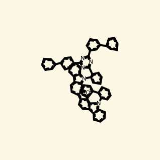 c1ccc(-c2ccc(-c3nc(-c4cccc(-c5ccccc5)c4)nc(-c4ccccc4-n4c5ccccc5c5ccc6c7ccc8c9ccccc9n(-c9ccccc9-c9ccccc9)c8c7oc6c54)n3)cc2)cc1